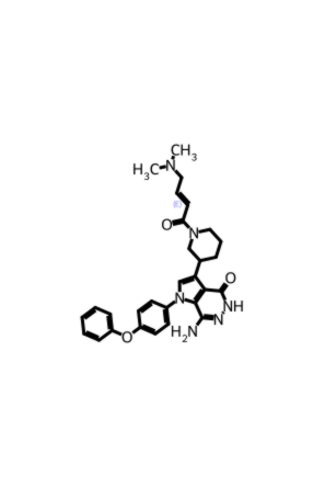 CN(C)C/C=C/C(=O)N1CCCC(c2cn(-c3ccc(Oc4ccccc4)cc3)c3c(N)n[nH]c(=O)c23)C1